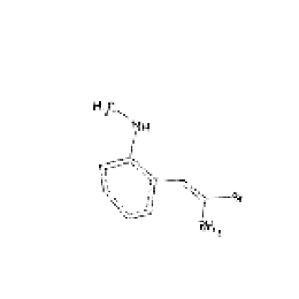 B/C(Br)=C\c1ccccc1NC